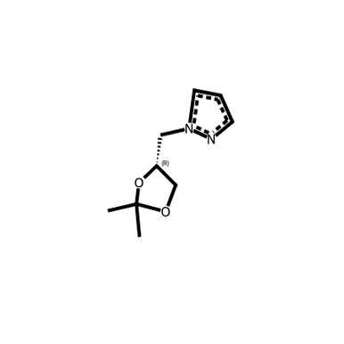 CC1(C)OC[C@@H](Cn2cccn2)O1